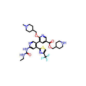 CCNC(=O)Nc1cc(-c2nc(C(F)(F)F)cs2)c(-c2cc(C(=O)OCC3CCNCC3)cnc2OCC2CCN(C)CC2)cn1